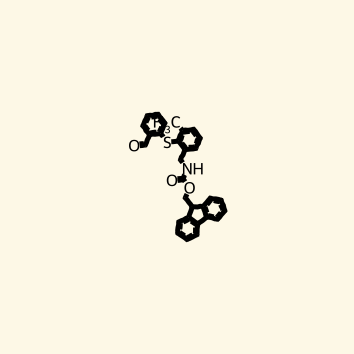 Cc1cccc(CNC(=O)OCC2c3ccccc3-c3ccccc32)c1Sc1ccccc1C=O